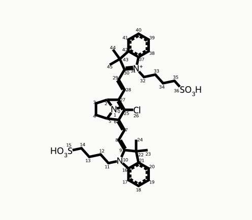 CN1C2CCC1/C(=C\C=C1\N(CCCCS(=O)(=O)O)c3ccccc3C1(C)C)C(Cl)=C2/C=C/C1=[N+](CCCCS(=O)(=O)O)c2ccccc2C1(C)C